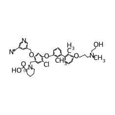 Cc1c(COc2cc(OCc3cncc(C#N)c3)c(CN3CCCC[C@H]3C(=O)O)cc2Cl)cccc1-c1cccc(OCCCN(C)CCO)c1C